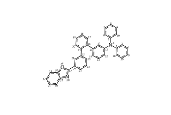 c1ccc(N(c2ccccc2)c2cccc(-c3ccccc3-c3cccc(-c4nc5ccccc5o4)c3)c2)cc1